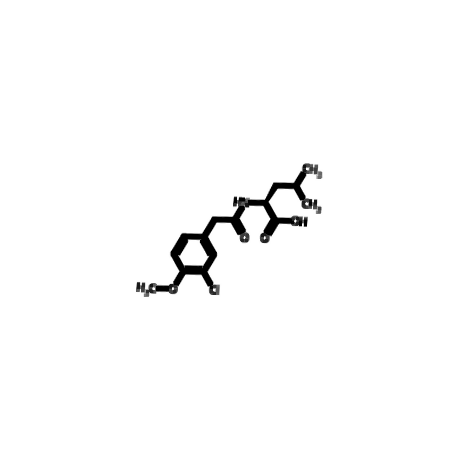 COc1ccc(CC(=O)N[C@@H](CC(C)C)C(=O)O)cc1Cl